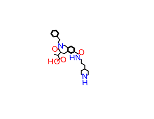 CC(C(=O)O)C1Cc2cc(C(=O)NCCCC3CCNCC3)ccc2CN(CCc2ccccc2)C1=O